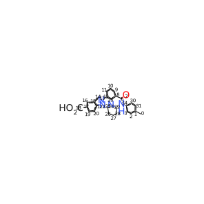 Cc1ccc(NC(=O)c2cccc(-n3cc4cc(C(=O)O)ccc4n3)c2N2CCCCC2)cc1